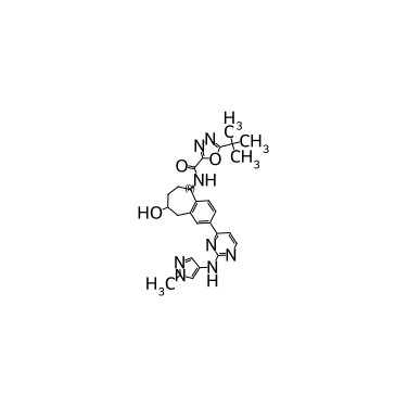 Cn1cc(Nc2nccc(-c3ccc4c(c3)CC(O)CC[C@H]4NC(=O)c3nnc(C(C)(C)C)o3)n2)cn1